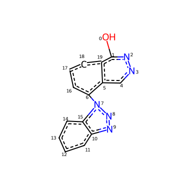 Oc1nncc2c(-n3nnc4ccccc43)cccc12